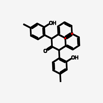 Cc1ccc(C(C(=O)C(c2ccccc2)c2ccc(C)cc2O)c2ccccc2)c(O)c1